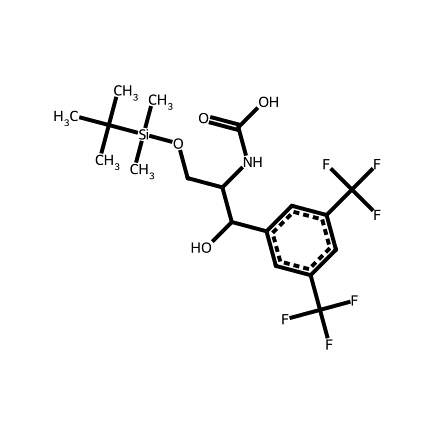 CC(C)(C)[Si](C)(C)OCC(NC(=O)O)C(O)c1cc(C(F)(F)F)cc(C(F)(F)F)c1